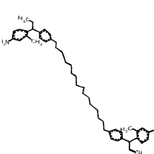 CCC(c1ccc(CCCCCCCCCCCCCCCCc2ccc(C(CC)c3ccc(N)cc3C)cc2)cc1)c1ccc(N)cc1C